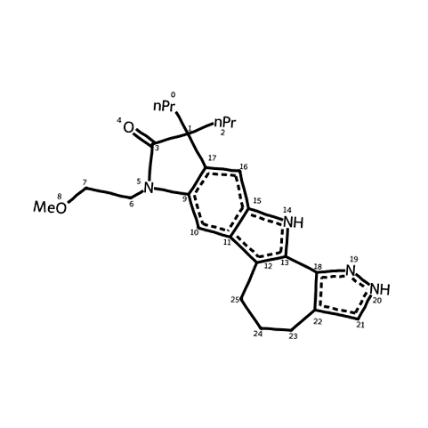 CCCC1(CCC)C(=O)N(CCOC)c2cc3c4c([nH]c3cc21)-c1n[nH]cc1CCC4